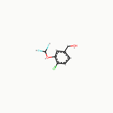 OCc1ccc(Cl)c(OC(F)F)c1